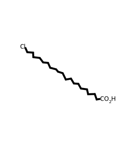 O=C(O)CCCCCCCCCCCCCCCCCCCCl